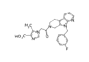 Cc1c(C(=O)O)ncn1CC(=O)N1CCc2c(n(Cc3cccc(F)c3)c3ncccc23)C1